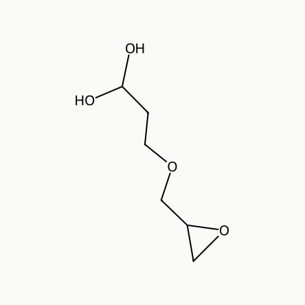 OC(O)CCOCC1CO1